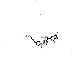 CCCCCC1CCC(Nc2ncc3c(-c4cc(F)c5nccn5c4)c[nH]c3n2)CC1